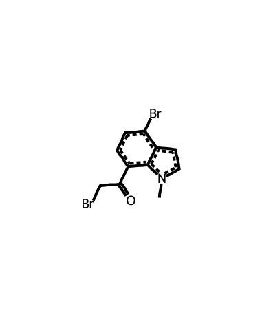 Cn1ccc2c(Br)ccc(C(=O)CBr)c21